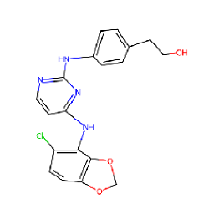 OCCc1ccc(Nc2nccc(Nc3c(Cl)ccc4c3OCO4)n2)cc1